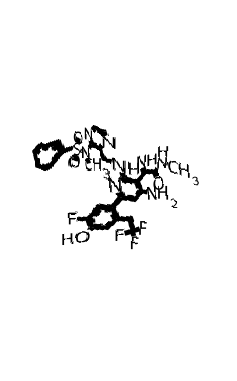 CNC(=O)C(=N)c1c(N)cc(-c2cc(F)c(O)cc2CC(F)(F)F)nc1NCc1nccnc1N(C)S(=O)(=O)c1ccccc1